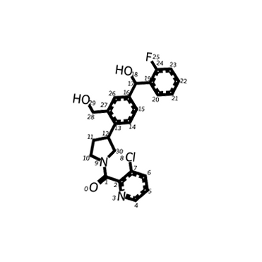 O=C(c1ncccc1Cl)N1CCC(c2ccc(C(O)c3ccccc3F)cc2CO)C1